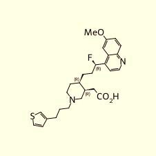 COc1ccc2nccc([C@H](F)CC[C@@H]3CCN(CCCc4ccsc4)C[C@@H]3CC(=O)O)c2c1